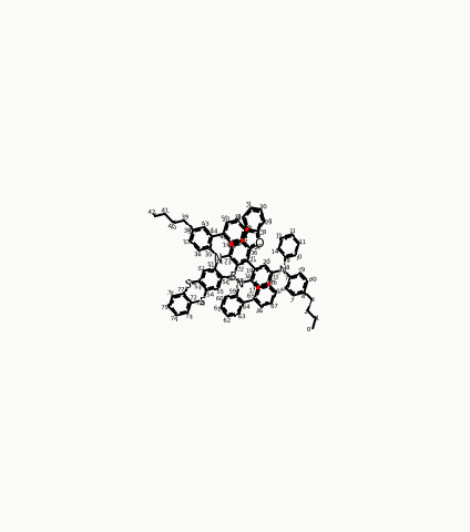 CCCCc1ccc(N(c2ccccc2)c2ccc3c(c2)-c2c4c(cc5c2oc2ccccc25)N(c2ccc(CCCC)cc2-c2ccccc2)c2cc5c(cc2B4N3c2ccccc2-c2ccccc2)Sc2ccccc2S5)cc1